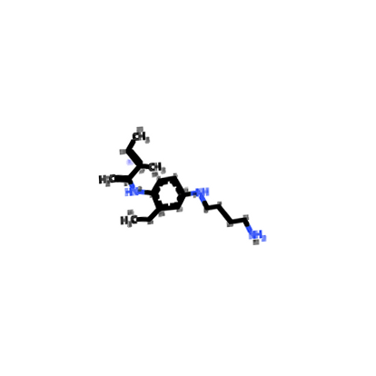 C=C(Nc1ccc(NCCCCN)cc1CC)/C(C)=C/C